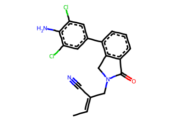 C/C=C(\C#N)CN1Cc2c(cccc2-c2cc(Cl)c(N)c(Cl)c2)C1=O